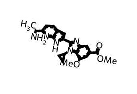 COC(=O)c1cc(OC)c2c(c1)nc(-c1cc3ccc([C@@H](C)N)nc3[nH]1)n2C1CC1